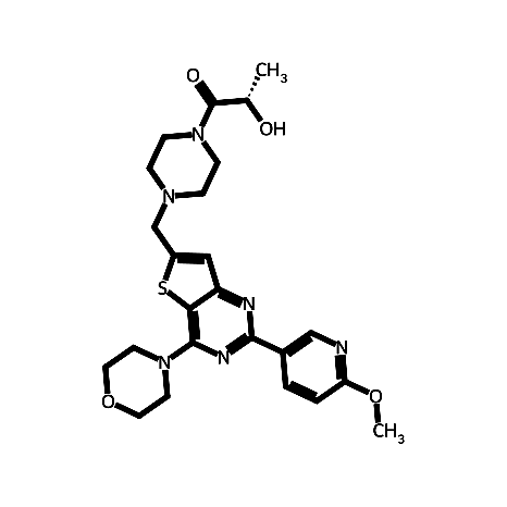 COc1ccc(-c2nc(N3CCOCC3)c3sc(CN4CCN(C(=O)[C@H](C)O)CC4)cc3n2)cn1